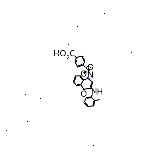 Cc1ccccc1NC1=C/C(=N/S(=O)(=O)c2ccc(C(=O)O)cc2)c2ccccc2C1=O